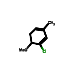 COC1CC=C(C)C=C1Cl